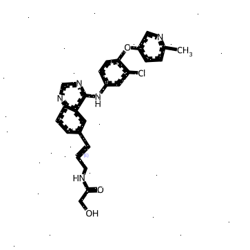 Cc1ccc(Oc2ccc(Nc3ncnc4ccc(/C=C/CNC(=O)CO)cc34)cc2Cl)cn1